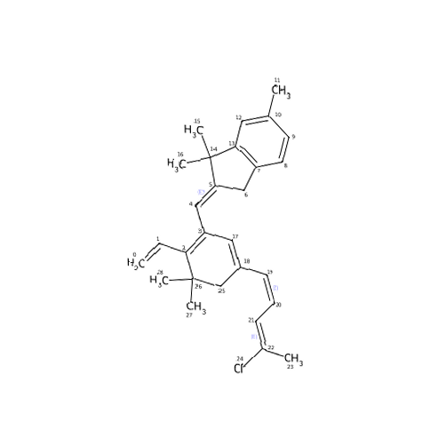 C=CC1=C(/C=C2\Cc3ccc(C)cc3C2(C)C)C=C(/C=C\C=C(/C)Cl)CC1(C)C